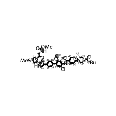 COC(=O)NCC(=O)N1C[C@@H](SC)C[C@H]1c1nc(-c2ccc(-c3cc(Cl)c(NC(=O)c4ccc(N5CCN(C(=O)C(C)(C)C)C[C@H]5C)nc4)cc3OC(F)(F)F)cc2)c[nH]1